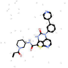 C=CC(=O)N1CCC[C@@H](NC(=O)c2sc3nccc4c3c2NC(=O)N4c2cccc(-c3ccncc3)c2)C1